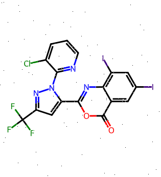 O=c1oc(-c2cc(C(F)(F)F)nn2-c2ncccc2Cl)nc2c(I)cc(I)cc12